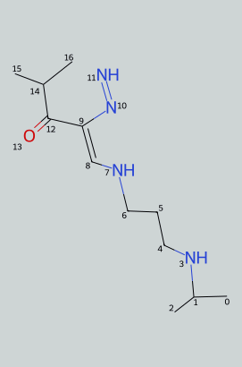 CC(C)NCCCN/C=C(\N=N)C(=O)C(C)C